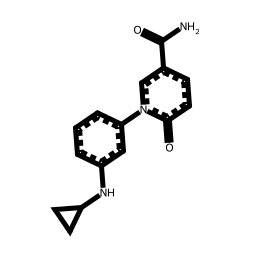 NC(=O)c1ccc(=O)n(-c2cccc(NC3CC3)c2)c1